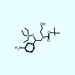 CC[Si](CC)(CC)OC(CN(CCO)C(=O)OC(C)(C)C)c1cccc(N)c1